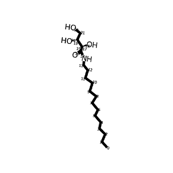 CCCCCCCCCCCCCCNC(=O)[C@H](O)[C@H](O)CO